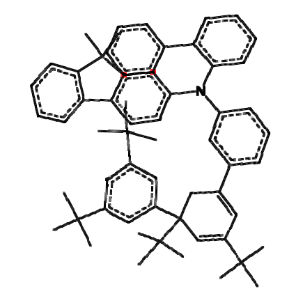 CC(C)(C)C1=CC(c2cc(C(C)(C)C)cc(C(C)(C)C)c2)(C(C)(C)C)CC(c2cccc(N(c3ccc4c(c3)C(C)(C)c3ccccc3-4)c3ccccc3-c3ccccc3)c2)=C1